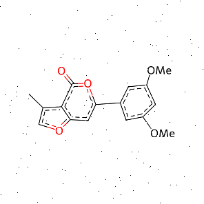 COc1cc(OC)cc(-c2cc3occ(C)c3c(=O)o2)c1